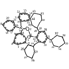 O=C(OS(c1ccccc1)(c1ccccc1)c1ccccc1)c1c(C2CCCCC2)cc(C2CCCCC2)cc1C1CCCCC1